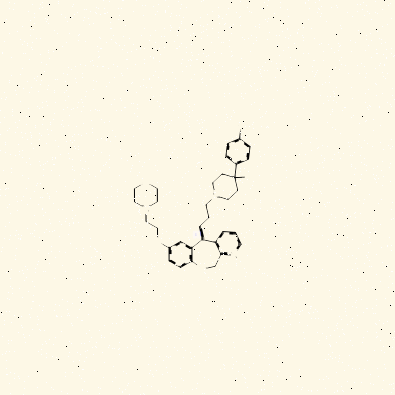 OC1(c2ccc(Cl)cc2)CCN(CC/C=C2/c3cc(OCCN4CCOCC4)ccc3OCc3ncccc32)CC1